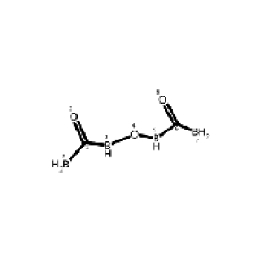 BC(=O)BOBC(B)=O